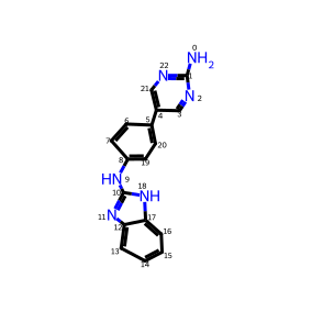 Nc1ncc(-c2ccc(Nc3nc4ccccc4[nH]3)cc2)cn1